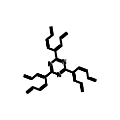 C=C/C=C\C(=C/C=C)c1nc(C(/C=C\C=C)=C/C=C)nc(C(/C=C\C=C)=C/C=C)n1